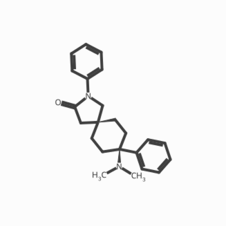 CN(C)[C@]1(c2ccccc2)CC[C@@]2(CC1)CC(=O)N(c1ccccc1)C2